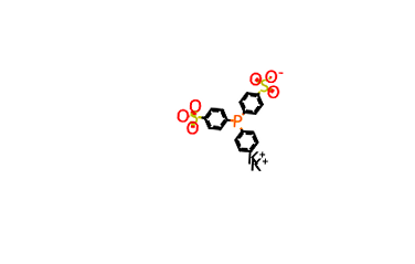 O=S(=O)([O-])c1ccc(P(c2ccccc2)c2ccc(S(=O)(=O)[O-])cc2)cc1.[K+].[K+]